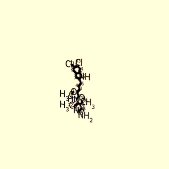 COC(=CC=Cc1cc2cc(Cl)c(Cl)cc2[nH]1)C(=O)Nc1c(C)nc(N)nc1C